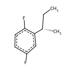 CC[C@H](C)c1cc(F)ccc1F